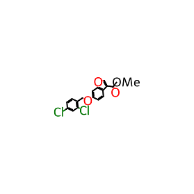 COC(=O)c1coc2cc(OCc3ccc(Cl)cc3Cl)ccc12